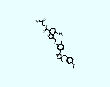 COc1ccc(Cn2c(C)nnc2-c2ccc(C)c(OCc3csc4c(C(=O)OCC(N)=O)cnc(N)c34)c2)cc1